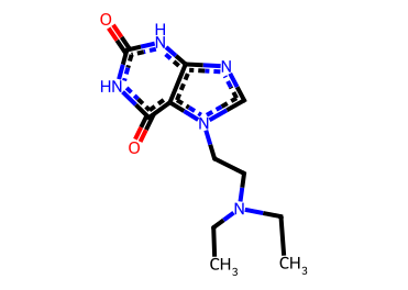 CCN(CC)CCn1cnc2[nH]c(=O)[nH]c(=O)c21